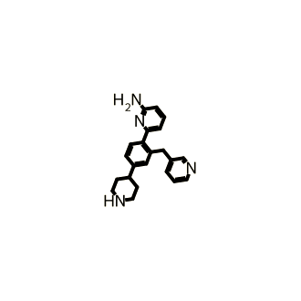 Nc1cccc(-c2ccc(C3CCNCC3)cc2Cc2cccnc2)n1